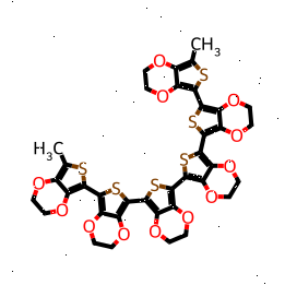 Cc1sc(-c2sc(-c3sc(-c4sc(-c5sc(-c6sc(C)c7c6OCCO7)c6c5OCCO6)c5c4OCCO5)c4c3OCCO4)c3c2OCCO3)c2c1OCCO2